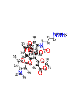 CC[C@@H](O)[C@@]1(C)OC(=O)N(CCCCN=[N+]=[N-])[C@@H]1[C@@H](C)OC(=O)[C@H](C)C[C@@](C)(OC)[C@H](OC1OC(C)CC(N(C)C)C1C)[C@@H](C)C1=C(C)C(=O)OC(C)(C)O1